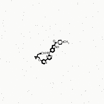 C#CCC1(COc2ccnc(-c3ccnc(Nc4ccc5[nH]c(C(=O)N6CCN(C)CC6)cc5c4)n3)c2)CC1